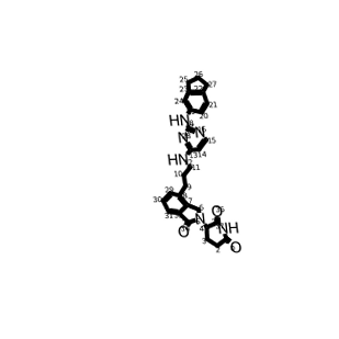 O=C1CCC(N2Cc3c(CCCNc4ccnc(Nc5ccc6c(c5)CCC6)n4)cccc3C2=O)C(=O)N1